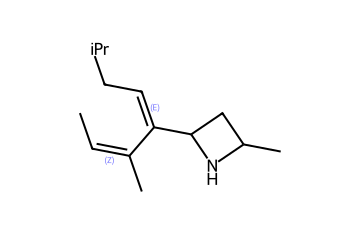 C/C=C(C)\C(=C/CC(C)C)C1CC(C)N1